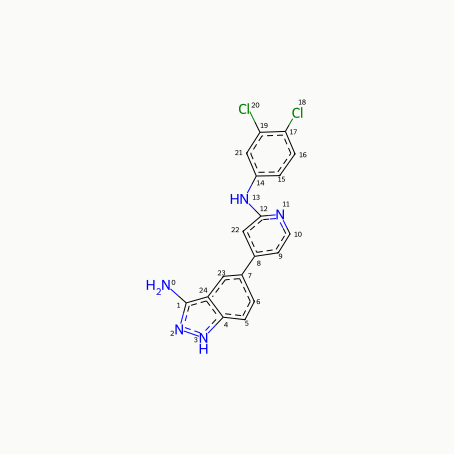 Nc1n[nH]c2ccc(-c3ccnc(Nc4ccc(Cl)c(Cl)c4)c3)cc12